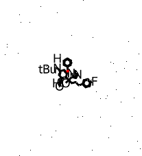 CC(C)(C)NC1=CC(=C=O)C(C(O)(CCCc2ccc(F)cc2)c2cncn2Cc2ccccc2)C=C1